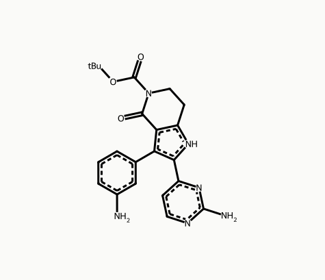 CC(C)(C)OC(=O)N1CCc2[nH]c(-c3ccnc(N)n3)c(-c3cccc(N)c3)c2C1=O